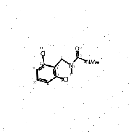 CNC(=O)N(C)Cc1c(Cl)cccc1Cl